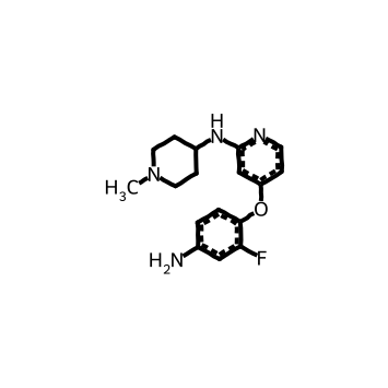 CN1CCC(Nc2cc(Oc3ccc(N)cc3F)ccn2)CC1